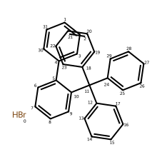 Br.c1ccc(-c2ccccc2C(c2ccccc2)(c2ccccc2)c2ccccc2)cc1